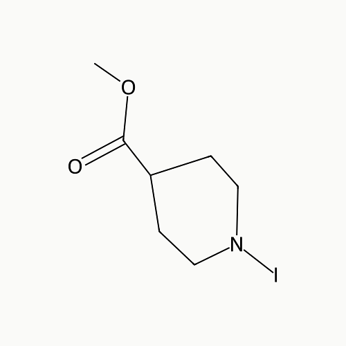 COC(=O)C1CCN(I)CC1